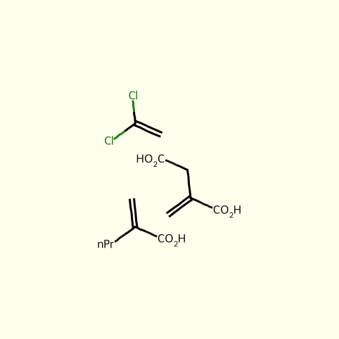 C=C(CC(=O)O)C(=O)O.C=C(CCC)C(=O)O.C=C(Cl)Cl